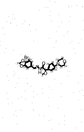 COC(C(=O)N/N=C/c1cc(Br)c2c(c1)OCO2)c1ccc(N2CCOCC2)cc1